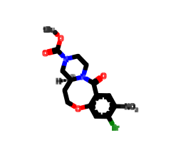 CC(C)(C)OC(=O)N1CCN2C(=O)c3cc([N+](=O)[O-])c(Br)cc3OCC[C@H]2C1